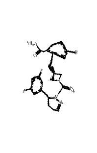 NC(=O)c1ccc(F)cc1C=C1CN(C(=O)N2N=CCC2c2cc(F)cc(F)c2)C1